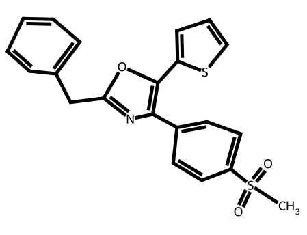 CS(=O)(=O)c1ccc(-c2nc(Cc3ccccc3)oc2-c2cccs2)cc1